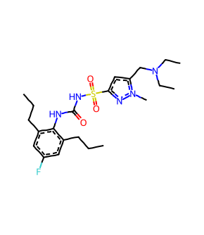 CCCc1cc(F)cc(CCC)c1NC(=O)NS(=O)(=O)c1cc(CN(CC)CC)n(C)n1